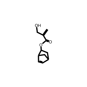 C=C(CO)C(=O)OC1CC2C=CC1C2